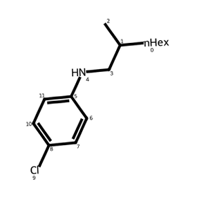 CCCCCCC(C)CNc1ccc(Cl)cc1